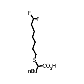 CCCCC(SCCCCCCC(F)F)C(=O)O